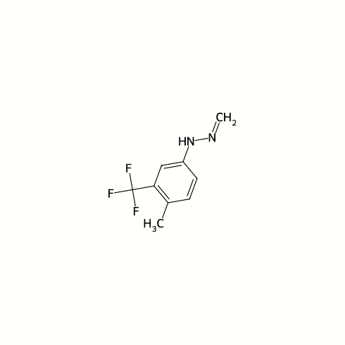 C=NNc1ccc(C)c(C(F)(F)F)c1